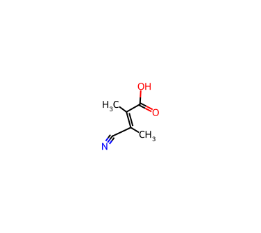 CC(C#N)=C(C)C(=O)O